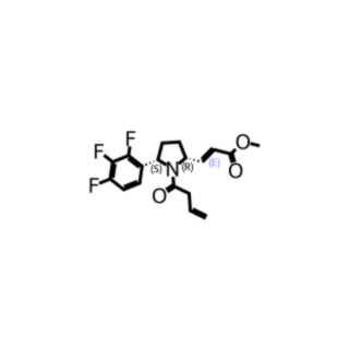 C=CCC(=O)N1[C@@H](/C=C/C(=O)OC)CC[C@H]1c1ccc(F)c(F)c1F